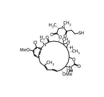 COc1cc2cc(c1Cl)N(C)C(=O)C[C@H](OC(=O)[C@H](C)N(C)C(=O)CCS)[C@]1(C)O[C@H]1[C@H](C)C1C[C@@](O)(NC(=O)O1)[C@H](OC)/C=C/C=C(\C)C2